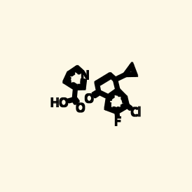 O=C(O)c1cccnc1.O=C1C=CC(C2CC2)c2cc(Cl)c(F)cc21